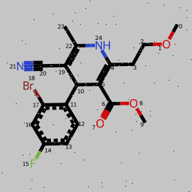 COCCC1=C(C(=O)OC)C(c2ccc(F)cc2Br)C(C#N)=C(C)N1